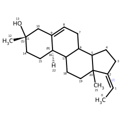 C/C=C1/CCC2C3CC=C4C[C@@](C)(O)CC[C@@H]4C3CCC12C